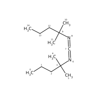 CCCC(C)(C)N=C=NC(C)(C)CCC